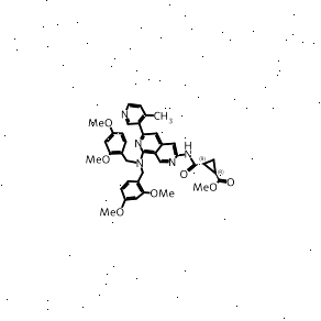 COC(=O)[C@@H]1C[C@H]1C(=O)Nc1cc2cc(-c3cnccc3C)nc(N(Cc3ccc(OC)cc3OC)Cc3ccc(OC)cc3OC)c2cn1